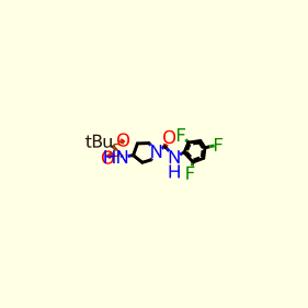 CC(C)(C)S(=O)(=O)NC1CCN(C(=O)Nc2c(F)cc(F)cc2F)CC1